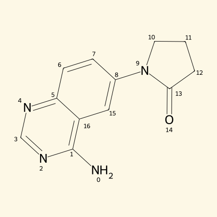 Nc1ncnc2ccc(N3CCCC3=O)cc12